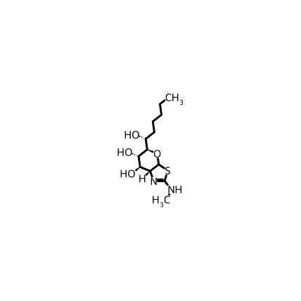 CCCCC[C@@H](O)[C@H]1OC2SC(NC)=N[C@@H]2[C@@H](O)[C@@H]1O